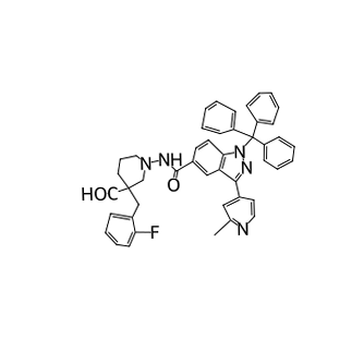 Cc1cc(-c2nn(C(c3ccccc3)(c3ccccc3)c3ccccc3)c3ccc(C(=O)NN4CCCC(CO)(Cc5ccccc5F)C4)cc23)ccn1